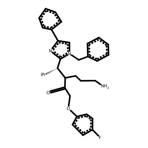 CC(C)[C@H](c1nc(-c2ccccc2)cn1Cc1ccccc1)C(CCCN)C(=O)COc1ccc(F)cc1